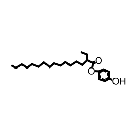 CCCCCCCCCCCCCCC(CC)C(=O)Oc1ccc(O)cc1